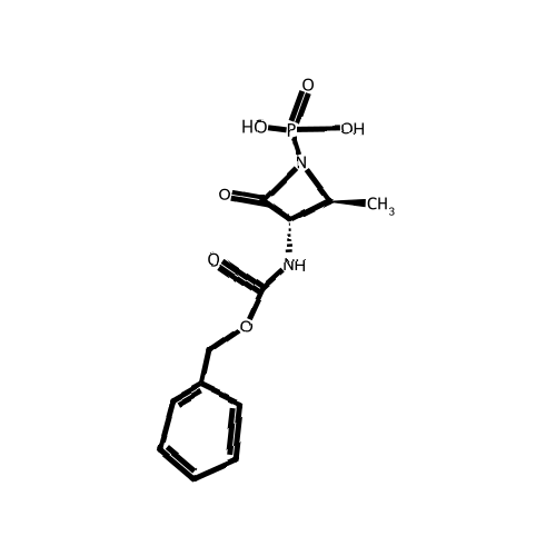 C[C@H]1[C@H](NC(=O)OCc2ccccc2)C(=O)N1P(=O)(O)O